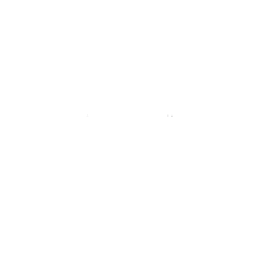 CCC(C)OC(C)(C)CCOC(C)=O